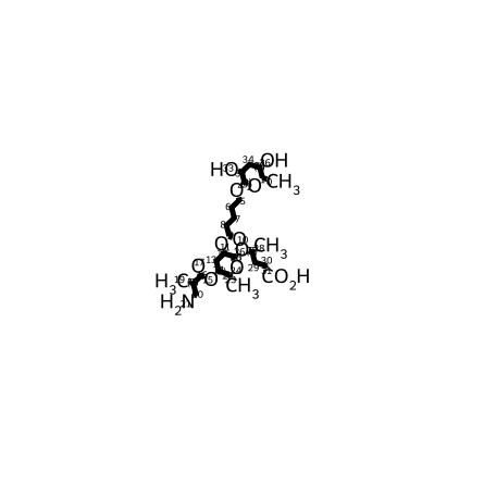 CC1O[C@@H](OCCCCC(=O)OC2C[C@@H](OC(=O)[C@H](C)CN)C(C)O[C@H]2O[C@H](C)CCC(=O)O)C(O)C[C@H]1O